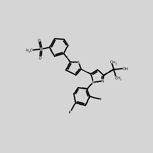 CC(C)(O)c1cc(-c2ccc(-c3cccc(S(C)(=O)=O)c3)s2)n(-c2ccc(F)cc2F)n1